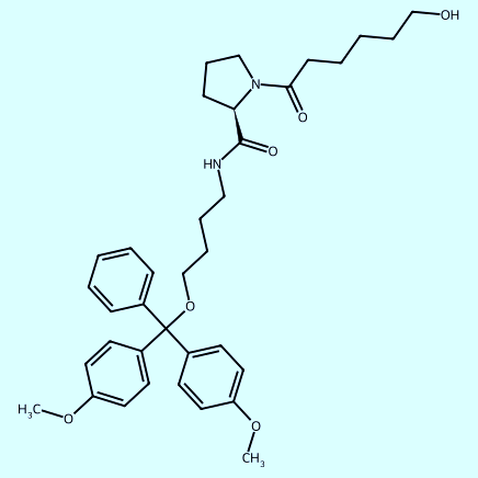 COc1ccc(C(OCCCCNC(=O)[C@H]2CCCN2C(=O)CCCCCO)(c2ccccc2)c2ccc(OC)cc2)cc1